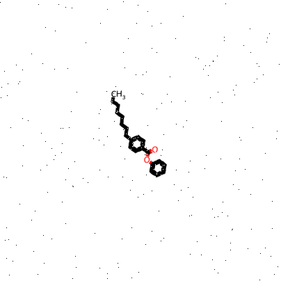 CCCCCCCCc1ccc(C(=O)Oc2ccccc2)cc1